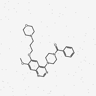 COc1cc2ncnc(N3CCN(C(=O)c4ccccc4)CC3)c2cc1OCCCN1CCOCC1